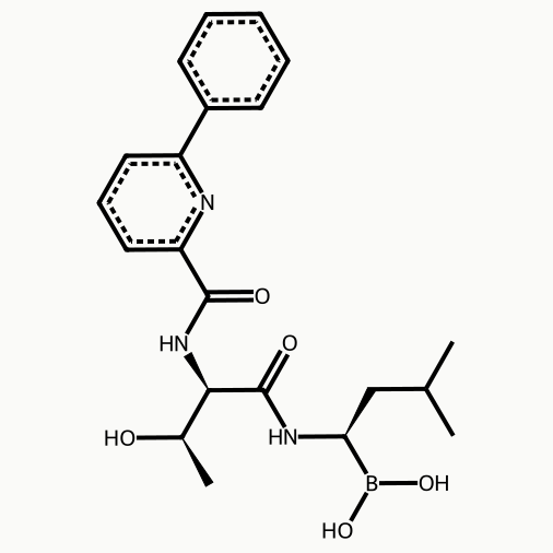 CC(C)C[C@H](NC(=O)[C@H](NC(=O)c1cccc(-c2ccccc2)n1)[C@@H](C)O)B(O)O